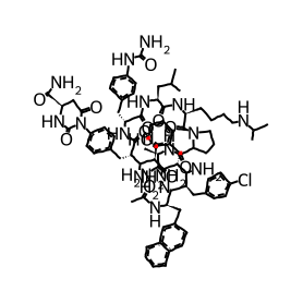 CC(=O)N[C@H](Cc1ccc2ccccc2c1)C(N)[C@H](Cc1ccc(Cl)cc1)C(N)[C@@H](Cc1cccnc1)C(N)[C@H](CO)C(N)[C@H](Cc1ccc(N2C(=O)C[C@H](C(N)=O)NC2=O)cc1)C(=O)N[C@H](Cc1ccc(NC(N)=O)cc1)C(=O)N[C@@H](CC(C)C)C(=O)N[C@@H](CCCCNC(C)C)C(=O)N1CCCC1C(=O)N[C@H](C)C(N)=O